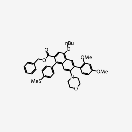 CCCCOc1cc(C(=O)OCc2ccccc2)c(-c2ccc(SC)cc2)c2cc(N3CCOCC3)c(-c3ccc(OC)cc3OC)cc12